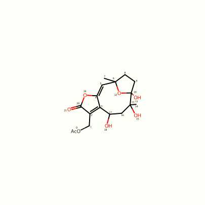 CC(=O)OCC1=C2/C(=C\C3(C)CCC(O)(O3)C(C)(O)CC2O)OC1=O